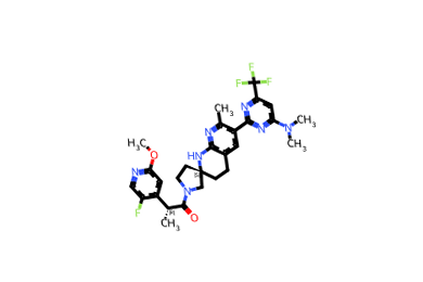 COc1cc([C@@H](C)C(=O)N2CC[C@@]3(CCc4cc(-c5nc(N(C)C)cc(C(F)(F)F)n5)c(C)nc4N3)C2)c(F)cn1